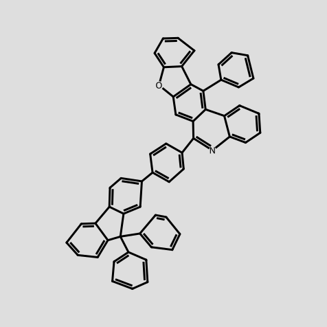 c1ccc(-c2c3c(cc4c(-c5ccc(-c6ccc7c(c6)C(c6ccccc6)(c6ccccc6)c6ccccc6-7)cc5)nc5ccccc5c24)oc2ccccc23)cc1